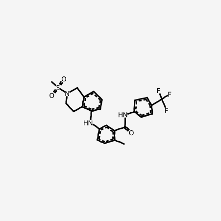 Cc1ccc(Nc2cccc3c2CCN(S(C)(=O)=O)C3)cc1C(=O)Nc1ccc(C(F)(F)F)cc1